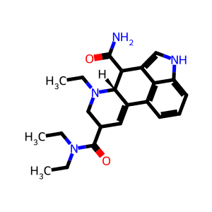 CCN(CC)C(=O)C1C=C2c3cccc4[nH]cc(c34)C(C(N)=O)[C@H]2N(CC)C1